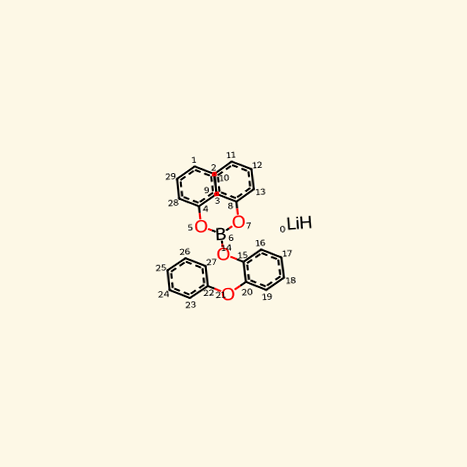 [LiH].c1ccc(OB(Oc2ccccc2)Oc2ccccc2Oc2ccccc2)cc1